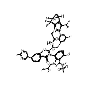 Cc1ncc(-c2ccc3c(=O)n(-c4ccc(Cl)c5c(NS(C)(=O)=O)nn(CC(F)F)c45)c([C@H](Cc4cc(F)cc(F)c4)NC(=O)Cn4nc(C(F)F)c5c4C(F)(F)[C@@H]4C[C@H]54)nc3c2)cn1